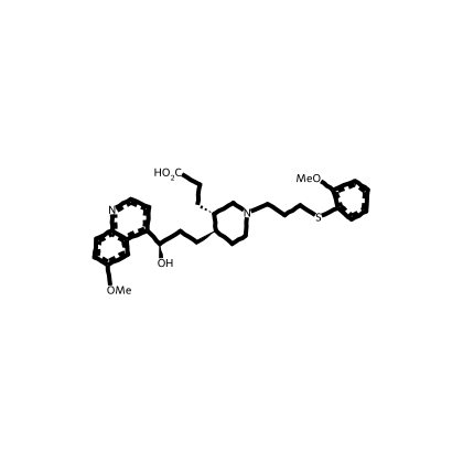 COc1ccc2nccc([C@H](O)CC[C@@H]3CCN(CCCSc4ccccc4OC)C[C@H]3CCC(=O)O)c2c1